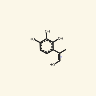 C/C(=C/O)c1ccc(O)c(O)c1O